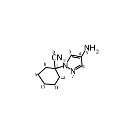 N#CC1(n2cc(N)cn2)CCCCC1